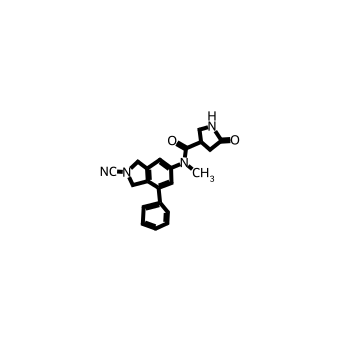 CN(C(=O)C1CNC(=O)C1)c1cc2c(c(-c3ccccc3)c1)CN(C#N)C2